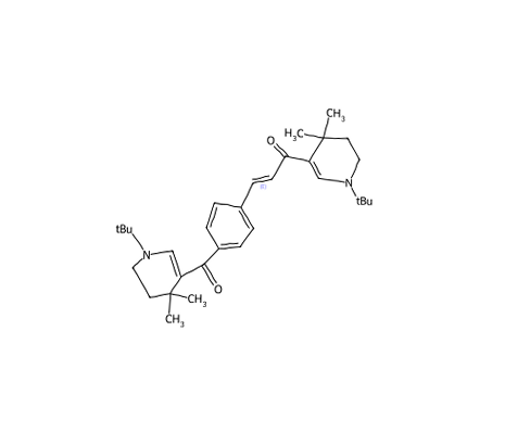 CC1(C)CCN(C(C)(C)C)C=C1C(=O)/C=C/c1ccc(C(=O)C2=CN(C(C)(C)C)CCC2(C)C)cc1